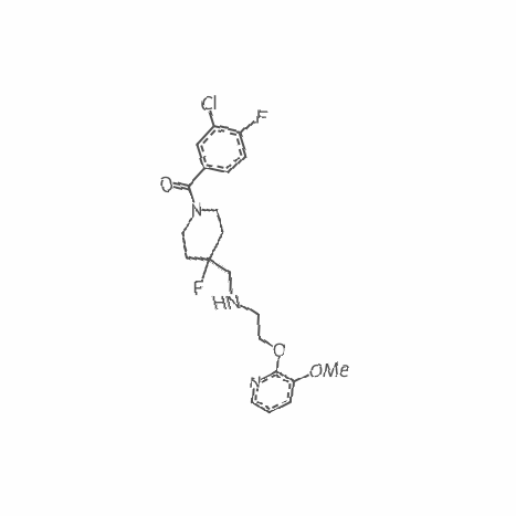 COc1cccnc1OCCNCC1(F)CCN(C(=O)c2ccc(F)c(Cl)c2)CC1